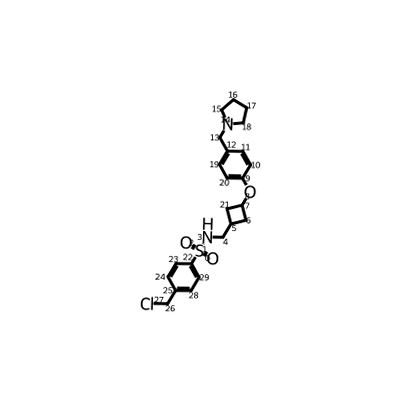 O=S(=O)(NCC1CC(Oc2ccc(CN3CCCC3)cc2)C1)c1ccc(CCl)cc1